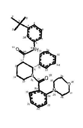 CC(C)(C)c1cccc(NC(=O)[C@H]2CCCN(C(=O)c3ccccc3N3CCOCC3)[C@H]2c2ccccc2)c1